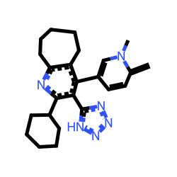 C=C1C=CC(c2c3c(nc(C4CCCCC4)c2-c2nnn[nH]2)CCCCC3)=CN1C